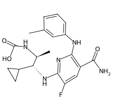 Cc1cccc(Nc2nc(N[C@H](C3CC3)[C@H](C)NC(=O)O)c(F)cc2C(N)=O)c1